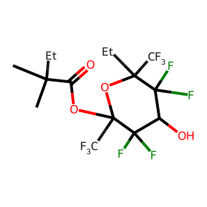 CCC(C)(C)C(=O)OC1(C(F)(F)F)OC(CC)(C(F)(F)F)C(F)(F)C(O)C1(F)F